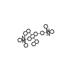 c1ccc(-n2c(-c3ccc(-c4ccc5c(-c6cccc7ccccc67)c6cc(-c7nc8ccccc8n7-c7ccccc7)ccc6c(-c6cccc7ccccc67)c5c4)cc3)nc3ccccc32)cc1